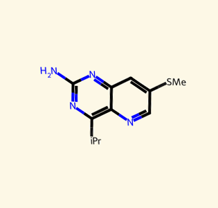 CSc1cnc2c(C(C)C)nc(N)nc2c1